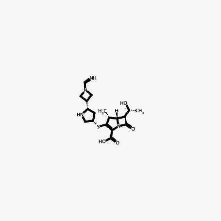 C[C@@H](O)[C@H]1C(=O)N2C(C(=O)O)=C(S[C@@H]3CN[C@H](C4CN(C=N)C4)C3)[C@H](C)[C@H]12